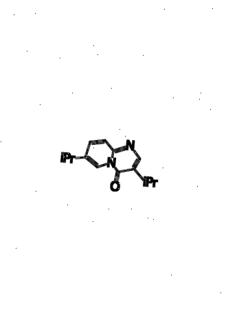 CC(C)c1ccc2ncc(C(C)C)c(=O)n2c1